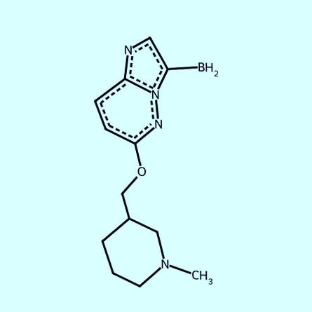 Bc1cnc2ccc(OCC3CCCN(C)C3)nn12